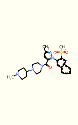 Cc1cc(C(=O)N2CCN(C3CCN(C)CC3)CC2)n(-c2cc3ccccc3cc2S(C)(=O)=O)n1